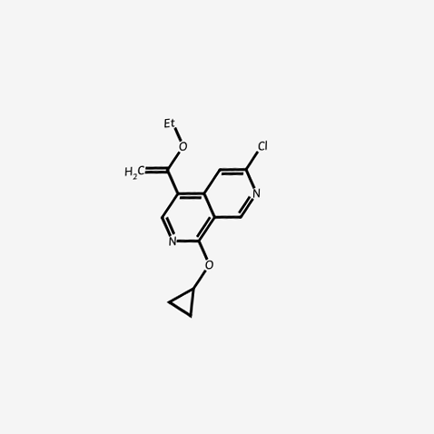 C=C(OCC)c1cnc(OC2CC2)c2cnc(Cl)cc12